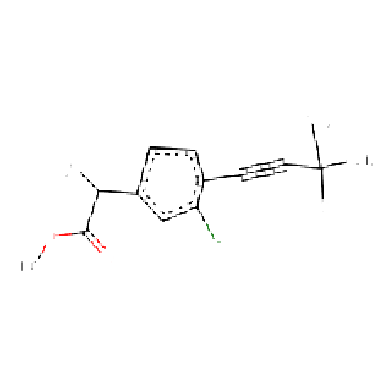 COC(=O)C(C)c1ccc(C#CC(C)(C)C)c(Cl)c1